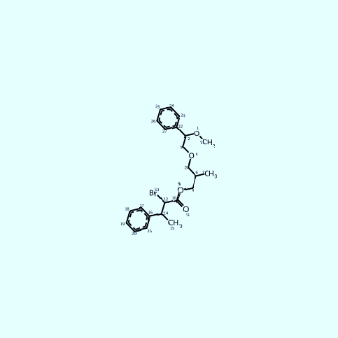 COC(COCC(C)COC(=O)C(Br)C(C)c1ccccc1)c1ccccc1